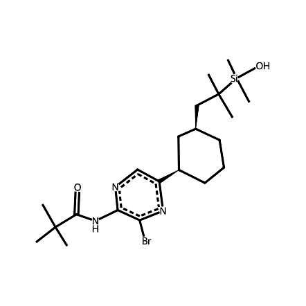 CC(C)(C)C(=O)Nc1ncc([C@@H]2CCC[C@H](CC(C)(C)[Si](C)(C)O)C2)nc1Br